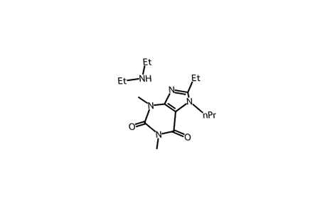 CCCn1c(CC)nc2c1c(=O)n(C)c(=O)n2C.CCNCC